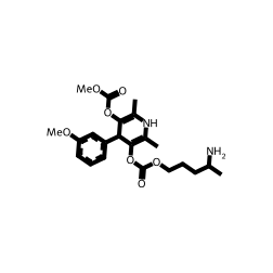 COC(=O)OC1=C(C)NC(C)=C(OC(=O)OCCCC(C)N)C1c1cccc(OC)c1